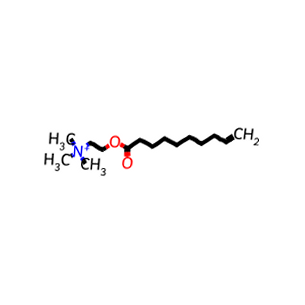 C=CCCCCCCCC(=O)OCC[N+](C)(C)C